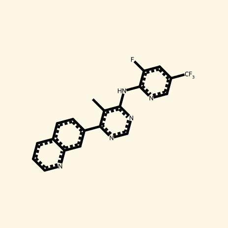 Cc1c(Nc2ncc(C(F)(F)F)cc2F)ncnc1-c1ccc2cccnc2c1